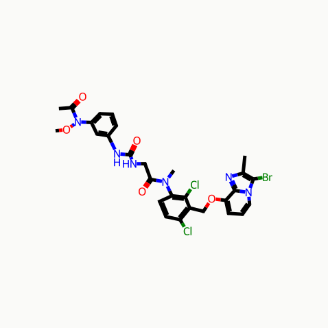 CON(C(C)=O)c1cccc(NC(=O)NCC(=O)N(C)c2ccc(Cl)c(COc3cccn4c(Br)c(C)nc34)c2Cl)c1